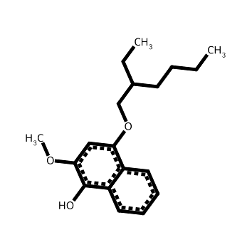 CCCCC(CC)COc1cc(OC)c(O)c2ccccc12